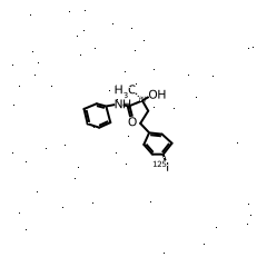 C[C@](O)(CCc1ccc([125I])cc1)C(=O)Nc1ccccc1